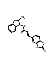 CC1Cc2ccccc2C1NC(=O)/C=C/c1ccc2oc(=O)[nH]c2c1